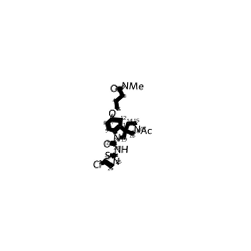 CNC(=O)CCCOc1ccc2c(c1)C1(CCN(C(C)=O)C1)CN2C(=O)Nc1ncc(Cl)s1